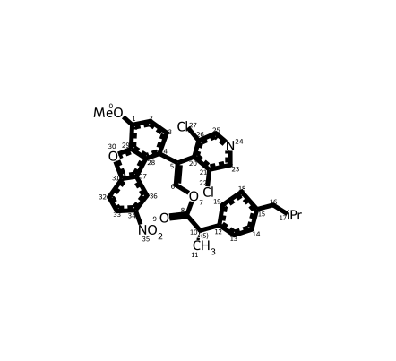 COc1ccc(C(=COC(=O)[C@@H](C)c2ccc(CC(C)C)cc2)c2c(Cl)cncc2Cl)c2c1oc1ccc([N+](=O)[O-])cc12